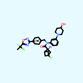 CC(F)(F)c1nc(C23CCC(CN(C(=O)[C@H]4CC5(F)CC4C5)c4cccc(N5CCC(O)CC5)c4)(CC2)CC3)no1